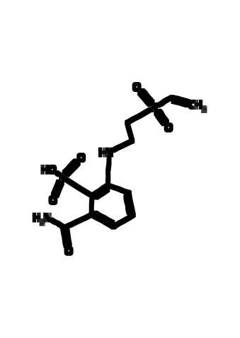 C=CS(=O)(=O)CCNc1cccc(C(N)=O)c1S(=O)(=O)O